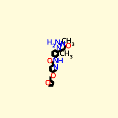 CN1C(=O)CC(C)(c2cccc(NC(=O)c3ccc(OCc4ccco4)cn3)c2)N=C1N